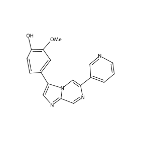 COc1cc(-c2cnc3cnc(-c4cccnc4)cn23)ccc1O